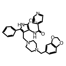 Cc1[nH]c(-c2ccccc2)c(CN2CCN(Cc3ccc4c(c3)OCO4)CC2)c1NC(=O)c1ccncc1